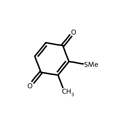 CSC1=C(C)C(=O)C=CC1=O